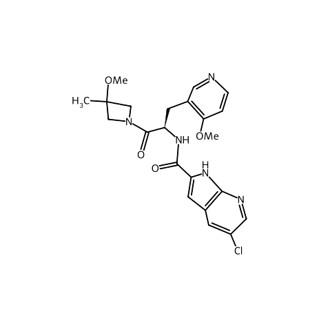 COc1ccncc1C[C@@H](NC(=O)c1cc2cc(Cl)cnc2[nH]1)C(=O)N1CC(C)(OC)C1